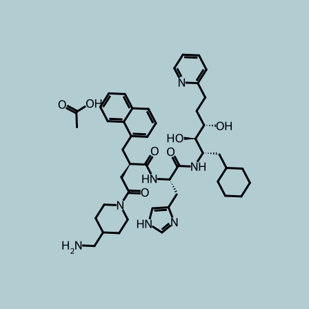 CC(=O)O.NCC1CCN(C(=O)C[C@@H](Cc2cccc3ccccc23)C(=O)N[C@@H](Cc2c[nH]cn2)C(=O)N[C@@H](CC2CCCCC2)[C@@H](O)[C@@H](O)CCc2ccccn2)CC1